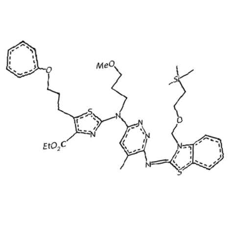 CCOC(=O)c1nc(N(CCCOC)c2cc(C)c(N=c3sc4ccccc4n3COCC[Si](C)(C)C)nn2)sc1CCCOc1ccccc1